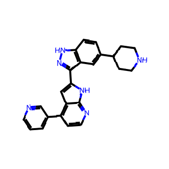 c1cncc(-c2ccnc3[nH]c(-c4n[nH]c5ccc(C6CCNCC6)cc45)cc23)c1